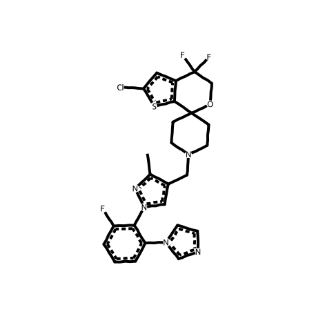 Cc1nn(-c2c(F)cccc2-n2ccnc2)cc1CN1CCC2(CC1)OCC(F)(F)c1cc(Cl)sc12